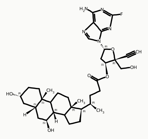 C#C[C@]1(CO)O[C@@H](n2cnc3c(N)nc(F)nc32)C[C@@H]1OC(=O)CC[C@@H](C)[C@H]1CCC2[C@H]3C(CC[C@@]21C)[C@@]1(C)CC[C@@H](O)C[C@H]1C[C@@H]3O